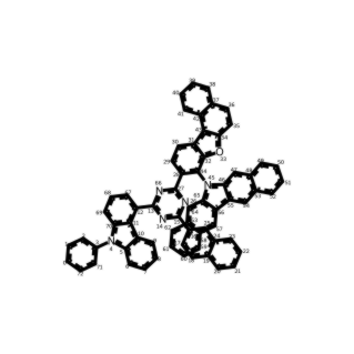 c1ccc(-n2c3ccccc3c3c(-c4nc(-c5ccc6ccccc6c5)nc(-c5ccc6c(oc7ccc8ccccc8c76)c5-n5c6cc7ccccc7cc6c6cc7ccccc7cc65)n4)cccc32)cc1